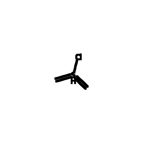 C=[SH](=C)Cl